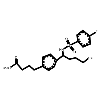 COC(=O)CCCc1ccc(C(CCCC(C)(C)C)NS(=O)(=O)c2ccc(F)cc2)cc1